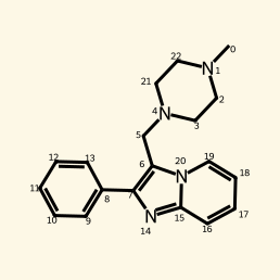 CN1CCN(Cc2c(-c3ccccc3)nc3ccccn23)CC1